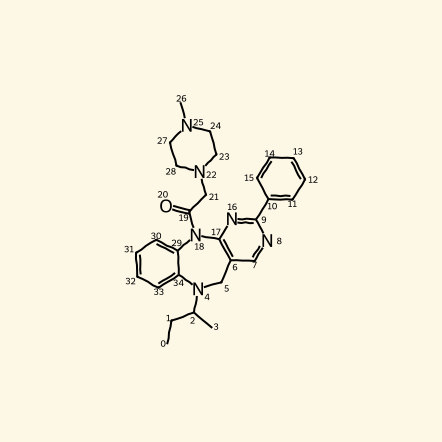 CCC(C)N1Cc2cnc(-c3ccccc3)nc2N(C(=O)CN2CCN(C)CC2)c2ccccc21